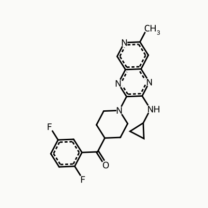 Cc1cc2nc(NC3CC3)c(N3CCC(C(=O)c4cc(F)ccc4F)CC3)nc2cn1